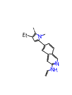 C=CNc1cc2cc(-c3cc(CC)c(C)n3C)ccc2cn1